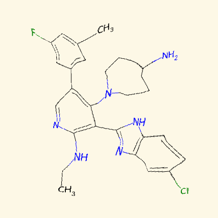 CCNc1ncc(-c2cc(C)cc(F)c2)c(N2CCC(N)CC2)c1-c1nc2cc(Cl)ccc2[nH]1